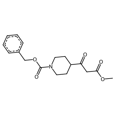 COC(=O)CC(=O)C1CCN(C(=O)OCc2ccccc2)CC1